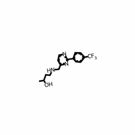 CC(O)CCNCc1ccnc(-c2ccc(C(F)(F)F)cc2)n1